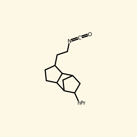 CCCC1CC2CC1C1CCC(CCN=C=O)C21